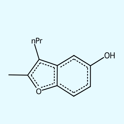 CCCc1c(C)oc2ccc(O)cc12